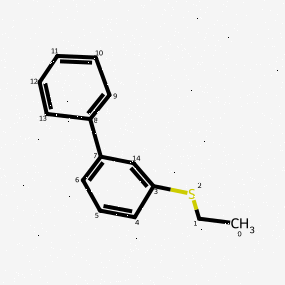 CCSc1cccc(-c2ccccc2)c1